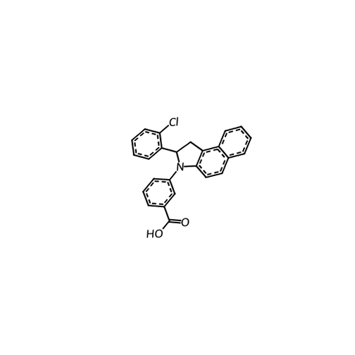 O=C(O)c1cccc(N2c3ccc4ccccc4c3CC2c2ccccc2Cl)c1